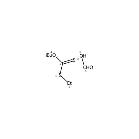 CCSC(=S)OCC(C)C.O=CO